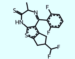 CC1N=C(c2c(F)cccc2F)c2c(sc3c2CC(C(F)F)C3)NC1=S